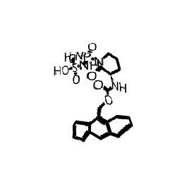 NP(=O)(NS(=O)(=O)O)N1CCC[C@@H](NC(=O)OCc2c3ccccc3cc3ccccc23)C1=O